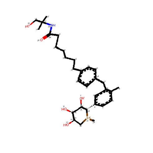 Cc1ccc([C@H]2[C@H](O)[C@H](O)[C@H](O)C[SH]2C)cc1Cc1ccc(CCCCCCC(=O)NC(C)(C)CO)cc1